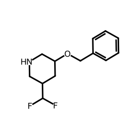 FC(F)C1CNCC(OCc2ccccc2)C1